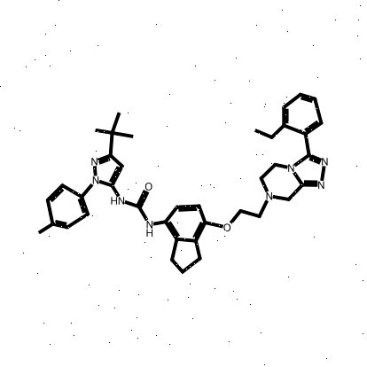 CCc1ccccc1-c1nnc2n1CCN(CCOc1ccc(NC(=O)Nc3cc(C(C)(C)C)nn3-c3ccc(C)cc3)c3c1CCC3)C2